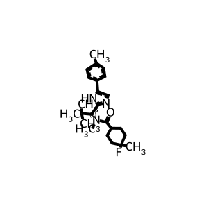 Cc1ccc(-c2cnc([C@@H](N(C)C(=O)C3CCC(C)(F)CC3)C(C)(C)C)[nH]2)cc1